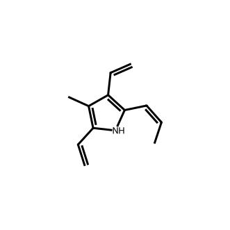 C=Cc1[nH]c(/C=C\C)c(C=C)c1C